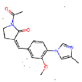 COc1cc(C=C2CCN(C(C)=O)C2=O)ccc1-n1cnc(C)c1